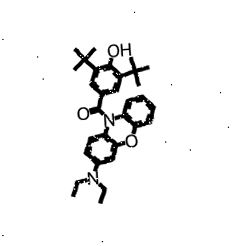 CCN(CC)c1ccc2c(c1)Oc1ccccc1N2C(=O)c1cc(C(C)(C)C)c(O)c(C(C)(C)C)c1